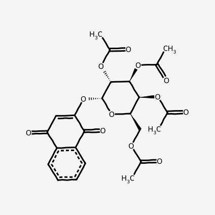 CC(=O)OC[C@H]1O[C@H](OC2=CC(=O)c3ccccc3C2=O)[C@H](OC(C)=O)[C@@H](OC(C)=O)[C@H]1OC(C)=O